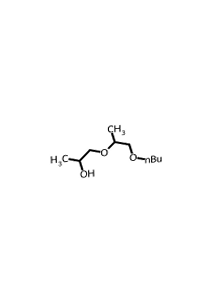 [CH2]CCCOCC(C)OCC(C)O